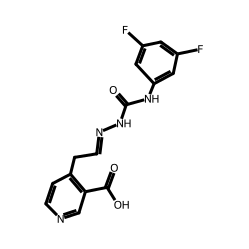 O=C(NN=CCc1ccncc1C(=O)O)Nc1cc(F)cc(F)c1